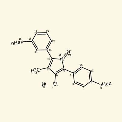 CCCCCCc1ccc(C2=C(CC)C(C)=C(c3cccc(CCCCCC)c3)[N+]2=[N-])cc1.[Ni]